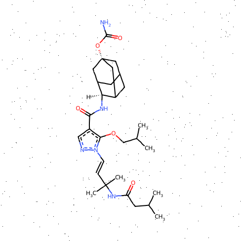 CC(C)COc1c(C(=O)N[C@H]2C3CC4CC2C[C@](OC(N)=O)(C4)C3)cnn1/C=C/C(C)(C)NC(=O)CC(C)C